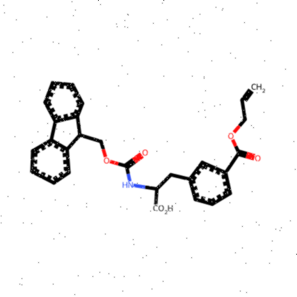 C=CCOC(=O)c1cccc(CC(NC(=O)OCC2c3ccccc3-c3ccccc32)C(=O)O)c1